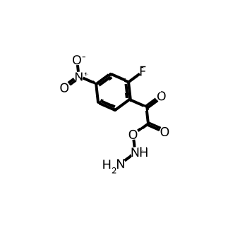 NNOC(=O)C(=O)c1ccc([N+](=O)[O-])cc1F